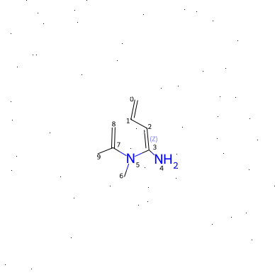 C=C/C=C(/N)N(C)C(=C)C